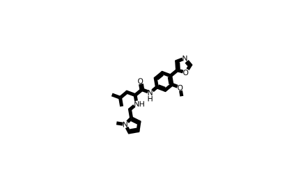 COc1cc(NC(=O)C(CC(C)C)NCc2cccn2C)ccc1-c1cnco1